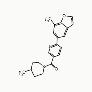 O=C(c1ccc(-c2cc(C(F)(F)F)c3occc3c2)nc1)N1CCC(C(F)(F)F)CC1